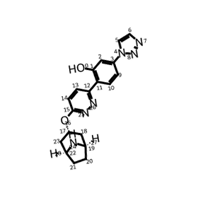 Oc1cc(-n2ccnn2)ccc1-c1ccc(O[C@@H]2C[C@H]3CC[C@@H](C2)N3)nn1